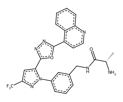 C[C@H](N)C(=O)NCc1cccc(-n2nc(C(F)(F)F)cc2-c2nnc(-c3ccnc4ccccc34)o2)c1